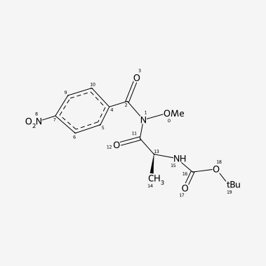 CON(C(=O)c1ccc([N+](=O)[O-])cc1)C(=O)[C@H](C)NC(=O)OC(C)(C)C